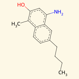 CCCCc1ccc2c(C)c(O)cc(N)c2c1